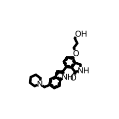 O=C1NCc2c(OCCCO)ccc(-c3cc4cc(CN5CCCCC5)ccc4[nH]3)c21